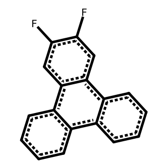 Fc1cc2c3ccccc3c3ccccc3c2cc1F